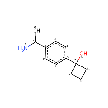 CC(N)c1ccc(C2(O)CCC2)cc1